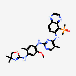 COc1cc(NC2=NC(C)(C)CO2)c(C)cc1Nc1ncc(C)c(Nc2ccc3nccnc3c2P(C)(C)=O)n1